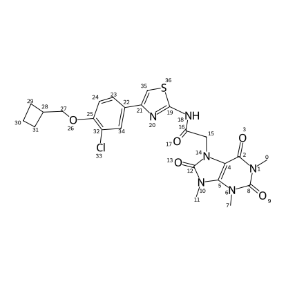 Cn1c(=O)c2c(n(C)c1=O)n(C)c(=O)n2CC(=O)Nc1nc(-c2ccc(OCC3CCC3)c(Cl)c2)cs1